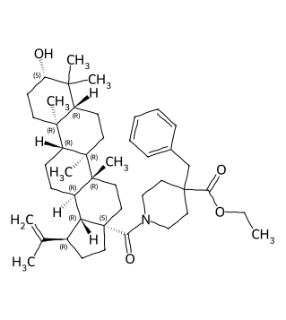 C=C(C)[C@@H]1CC[C@]2(C(=O)N3CCC(Cc4ccccc4)(C(=O)OCC)CC3)CC[C@]3(C)[C@H](CC[C@@H]4[C@@]5(C)CC[C@H](O)C(C)(C)[C@@H]5CC[C@]43C)[C@@H]12